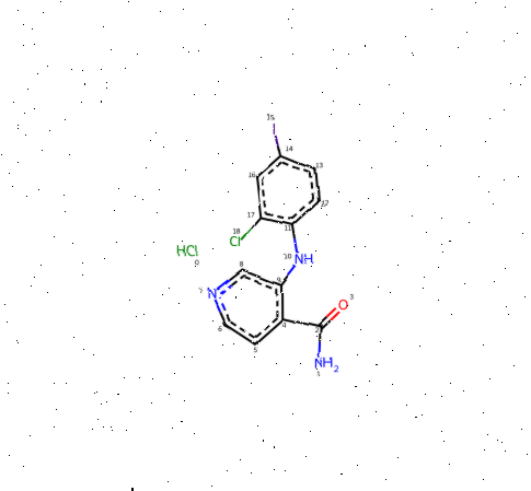 Cl.NC(=O)c1ccncc1Nc1ccc(I)cc1Cl